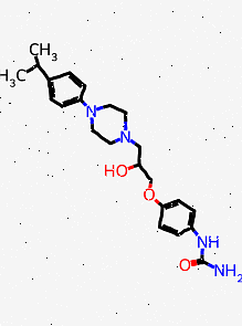 CC(C)c1ccc(N2CCN(CC(O)COc3ccc(NC(N)=O)cc3)CC2)cc1